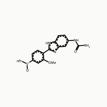 CCC[S+]([O-])c1ccc(-c2nc3cc(NC(N)=O)ccc3[nH]2)c(OC)c1